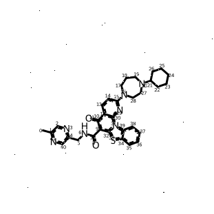 Cc1cnc(CNC(=O)c2c(=O)c3ccc(N4CCCN(C5CCCCC5)CC4)nc3n3c2sc2ccccc23)cn1